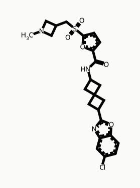 CN1CC(CS(=O)(=O)c2ccc(C(=O)NC3CC4(C3)CC(c3nc5cc(Cl)ccc5o3)C4)o2)C1